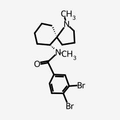 CN(C(=O)c1ccc(Br)c(Br)c1)[C@@H]1CCCC[C@]12CCCN2C